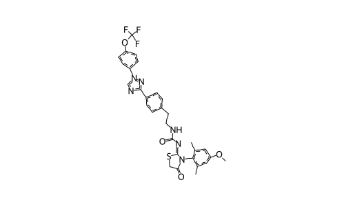 COc1cc(C)c(N2C(=O)CSC2=NC(=O)NCCc2ccc(-c3ncn(-c4ccc(OC(F)(F)F)cc4)n3)cc2)c(C)c1